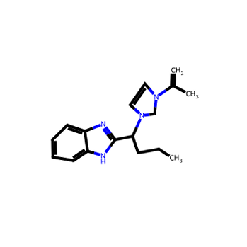 C=C(C)N1C=CN(C(CCC)c2nc3ccccc3[nH]2)C1